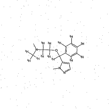 [2H]c1c([2H])c([2H])c(C([2H])(OC([2H])([2H])C([2H])([2H])N(C)C([2H])([2H])[2H])c2ccnn2C)c([2H])c1[2H]